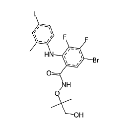 Cc1cc(I)ccc1Nc1c(C(=O)NOC(C)(C)CO)cc(Br)c(F)c1F